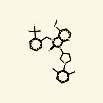 COc1ccnc2c1n(Cc1ccccc1C(F)(F)F)c(=O)n2C1CCN(c2c(C)cccc2C)C1